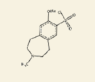 COc1cc2c(cc1S(=O)(=O)Cl)CCN(C)CC2